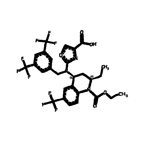 CCOC(=O)N1c2ccc(C(F)(F)F)cc2[C@@H](N(Cc2cc(C(F)(F)F)cc(C(F)(F)F)c2)c2nc(C(=O)O)co2)C[C@H]1CC